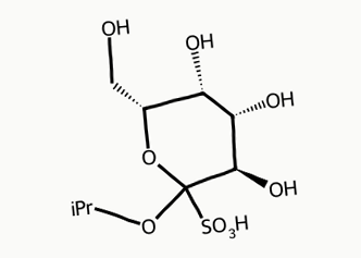 CC(C)OC1(S(=O)(=O)O)O[C@H](CO)[C@H](O)[C@H](O)[C@H]1O